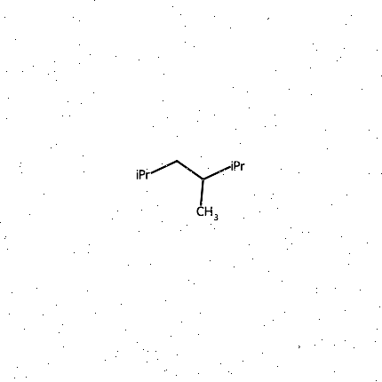 CC(C)CC(C)C(C)C